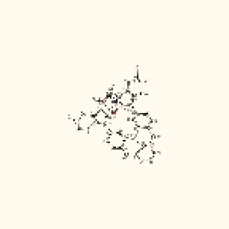 Cc1ccc2c(c1)c1cc(C)ccc1n2-c1ccc2c(c1)B1c3cc(-n4c5ccc(C)cc5c5cc(C)ccc54)ccc3Oc3cccc(c31)O2